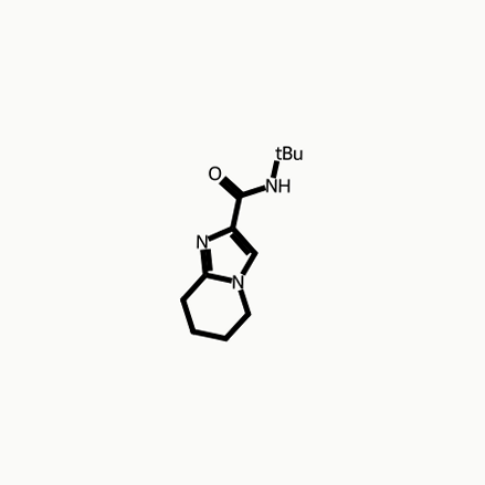 CC(C)(C)NC(=O)c1cn2c(n1)CCCC2